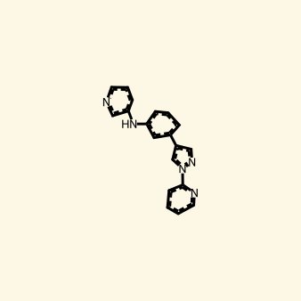 c1ccc(-n2cc(-c3cccc(Nc4cccnc4)c3)cn2)nc1